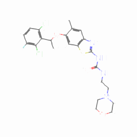 Cc1cc2nc(NC(=O)NCCN3CCOCC3)sc2cc1OC(C)c1c(Cl)ccc(F)c1Cl